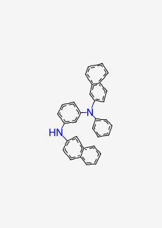 c1ccc(N(c2cccc(Nc3ccc4ccccc4c3)c2)c2ccc3ccccc3c2)cc1